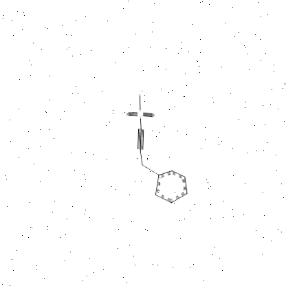 O=S(=O)(O)C#CCc1ccccc1